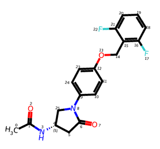 CC(=O)N[C@H]1CC(=O)N(c2ccc(OCc3c(F)cccc3F)cc2)C1